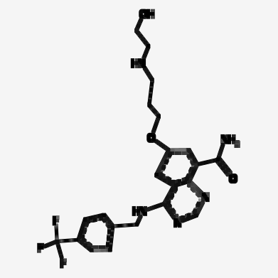 NC(=O)c1cc(OCCCNCCO)cc2c(NCc3ccc(C(F)(F)F)cc3)ncnc12